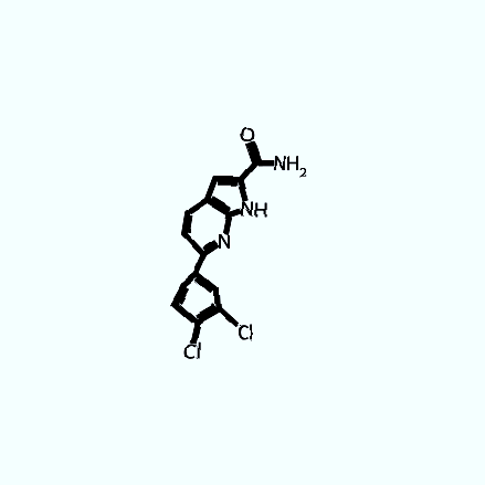 NC(=O)c1cc2ccc(-c3ccc(Cl)c(Cl)c3)nc2[nH]1